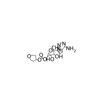 CC1(c2ccc3c(N)ncnn23)OC2C(OC(=O)OC3CCOCC3)C2(O)C1O